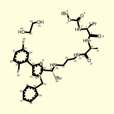 CC(C)[C@H](NC(=O)OC(C)(C)C)C(=O)N[C@@H](C)C(=O)NCCCN[C@@H](c1nc(-c2cc(F)ccc2F)cn1Cc1ccccc1)C(C)(C)C.OCCO